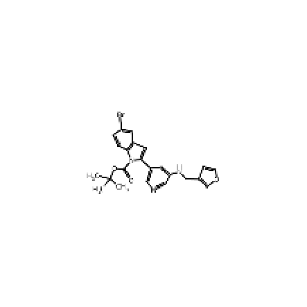 CC(C)(C)OC(=O)n1c(-c2cncc(NCc3ccoc3)c2)cc2cc(Br)ccc21